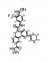 CCCNC(=O)c1ccc(CN(C(=O)Nc2ccc(NO)c(C(F)(F)F)c2)c2ccc(C3=CCCCC3)cc2)cc1